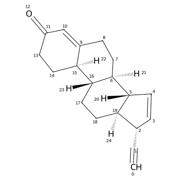 C#C[C@H]1C=C[C@H]2[C@@H]3CCC4=CC(=O)CC[C@@H]4[C@H]3CC[C@@H]21